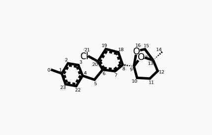 Cc1ccc(Cc2cc([C@]34CCC[C@](C)(CO3)O4)ccc2Cl)cc1